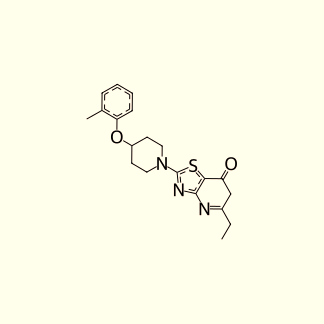 CCC1=Nc2nc(N3CCC(Oc4ccccc4C)CC3)sc2C(=O)C1